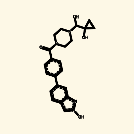 O=C(c1ccc(-c2ccc3cn(O)nc3c2)cc1)N1CCN(C(O)C2(O)CC2)CC1